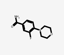 NC(=O)c1ccc(N2CCOCC2)c(F)c1